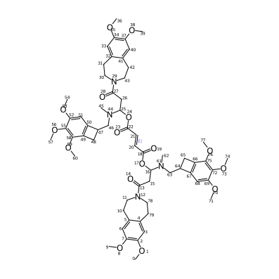 COc1cc2c(cc1OC)CCN(C(=O)CC(OC(=O)/C=C/C(=O)OC(CC(=O)N1CCc3cc(OC)c(OC)cc3CC1)N(C)CC1Cc3c1cc(OC)c(OC)c3OC)N(C)CC1Cc3c1cc(OC)c(OC)c3OC)CC2